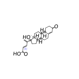 C=C(/C=C/C(=O)O)[C@]1(O)CC[C@H]2[C@@H]3CCC4=CC(=O)CC[C@@H]4[C@H]3CC[C@@]21C